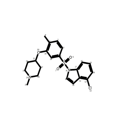 Cc1ccc(S(=O)(=O)n2ccc3c(Cl)cccc32)cc1OC1CCN(C)CC1